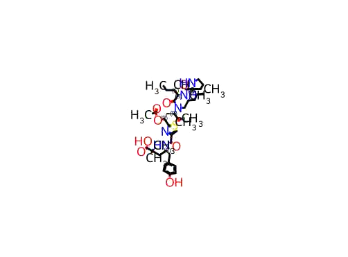 CCCCCCN(C(=O)[C@@H](NC(=O)[C@@]1(C)CCCN1)[C@@H](C)CC)[C@H](C[C@@H](OC(C)=O)c1nc(C(=O)N[C@@H](Cc2ccc(O)cc2)CC(C)(C)C(=O)O)cs1)C(C)C